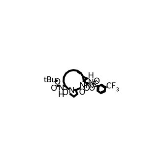 CC(C)(C)OC(=O)NC1CCCCCC=CC2CC2(C(=O)NS(=O)(=O)c2cccc(C(F)(F)F)c2)NC(=O)C2CCCN2C1=O